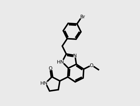 COc1ccc(C2CCNC2=O)c2[nH]c(Cc3ccc(Br)cc3)nc12